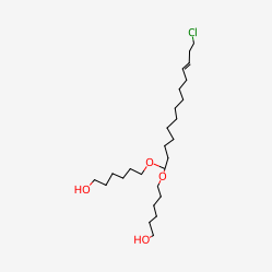 OCCCCCCOC(CCCCCCCCC/C=C/CCCl)OCCCCCCO